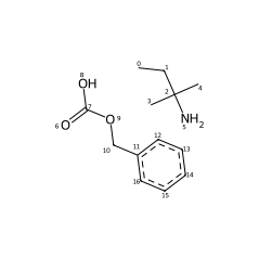 CCC(C)(C)N.O=C(O)OCc1ccccc1